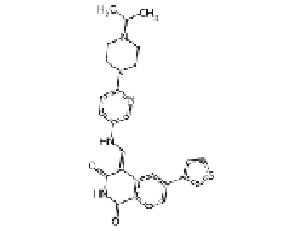 CC(C)N1CCN(c2ccc(NC=C3C(=O)NC(=O)c4ccc(-c5ccsc5)cc43)cn2)CC1